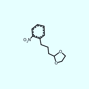 O=[N+]([O-])c1ccccc1CCCC1OCCO1